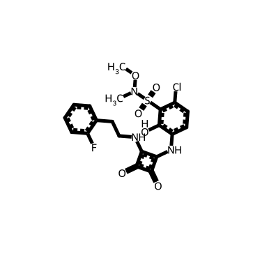 CON(C)S(=O)(=O)c1c(Cl)ccc(Nc2c(NCCc3ccccc3F)c(=O)c2=O)c1O